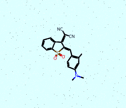 Cc1cc(N(C)C)ccc1C=C1C(=C(C#N)C#N)c2ccccc2S1(=O)=O